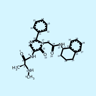 CN[C@@H](C)C(=O)Nc1cnc(-c2ccccc2)n(CC(=O)N[C@@H]2CCCc3ccccc32)c1=O